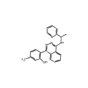 CC(Nc1nnc(-c2ccc(C(F)(F)F)cc2O)c2ccccc12)c1ccccn1